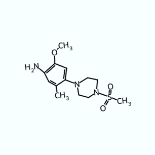 COc1cc(N2CCN(S(C)(=O)=O)CC2)c(C)cc1N